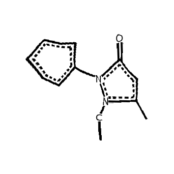 CCn1c(C)cc(=O)n1-c1ccccc1